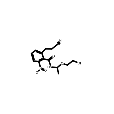 CC(NC(=O)c1c([N+](=O)[O-])[c]ccc1CCC#N)OCCO